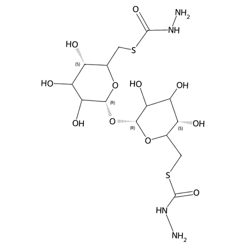 NNC(=O)SCC1O[C@H](O[C@H]2OC(CSC(=O)NN)[C@@H](O)C(O)C2O)C(O)C(O)[C@@H]1O